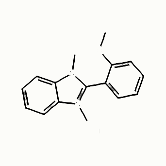 COc1ccccc1-c1n(C)c2ccccc2[n+]1C.[I-]